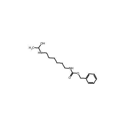 CC(O)NCCCCCCNC(=O)OCc1ccccc1